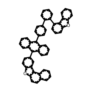 c1ccc(-c2cccc3oc4ccccc4c23)c(-c2ccc(-c3c4ccccc4c(-c4ccc5oc6ccc7ccccc7c6c5c4)c4ccccc34)cc2)c1